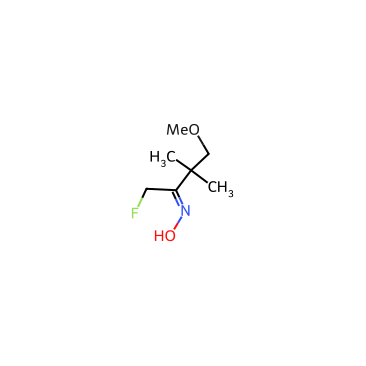 COCC(C)(C)C(CF)=NO